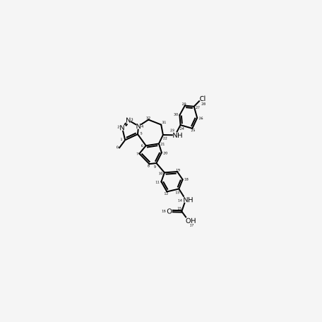 Cc1nnn2c1-c1ccc(-c3ccc(NC(=O)O)cc3)cc1C(Nc1ccc(Cl)cc1)CC2